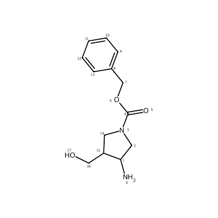 NC1CN(C(=O)OCc2ccccc2)CC1CO